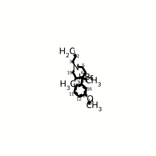 Br.C=CCN1CCC(C)(c2cccc(OC)c2)C(C)C1